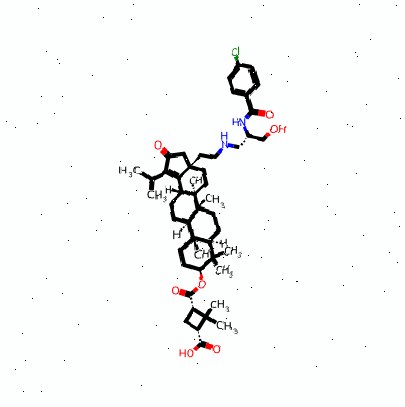 CC(C)C1=C2[C@H]3CC[C@@H]4[C@@]5(C)CC[C@H](OC(=O)[C@H]6C[C@@H](C(=O)O)C6(C)C)C(C)(C)[C@@H]5CC[C@@]4(C)[C@]3(C)CC[C@@]2(CCNC[C@@H](CO)NC(=O)c2ccc(Cl)cc2)CC1=O